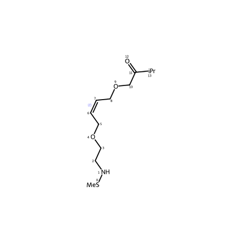 CSNCCOC/C=C\COCC(=O)C(C)C